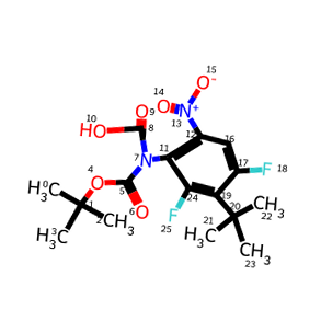 CC(C)(C)OC(=O)N(C(=O)O)c1c([N+](=O)[O-])cc(F)c(C(C)(C)C)c1F